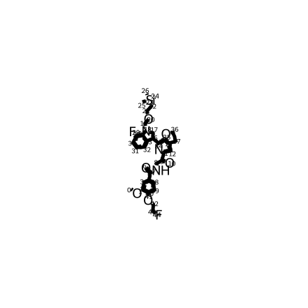 COc1cc(C(=O)NCC(=O)c2cc3c(c(C4CN(COCC[Si](C)(C)C)c5c(F)cccc54)n2)OCC3)ccc1OCCF